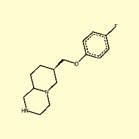 Fc1ccc(OC[C@@H]2CCC3CNCCN3C2)cc1